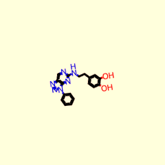 Oc1ccc(CCNc2ncc3nnn(-c4ccccc4)c3n2)cc1O